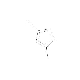 CCCc1cc(C)no1